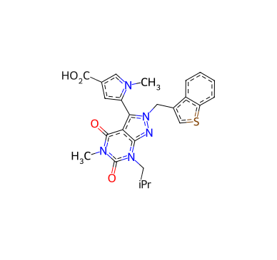 CC(C)Cn1c(=O)n(C)c(=O)c2c(-c3cc(C(=O)O)cn3C)n(Cc3csc4ccccc34)nc21